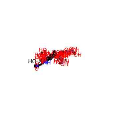 CCC(OC(C)=O)/C(OC(O)/C(O)=C(/O)C(C)O)=C(/O)C(O)OC(CC)C(O)C(CO)(OC(=O)[C@]12CCC(C)(C)CC1C1=CCC3[C@@]4(C)CC[C@H](OC5(OC(O)/C(O)=C(\O)C(O)CCO)COC(C(=O)O)C(O)C5OC(O)C(O)C(O)C(C)O)[C@@](C)(/C=N/NC(=O)CCCCCN5C(=O)C=CC5=O)C4CC[C@@]3(C)[C@]1(C)C[C@H]2O)OC1OC(C)C(OC(O)/C(O)=C(/OC(O)/C(O)=C(/O)C(O)CCO)C(C)O)C(O)C1O